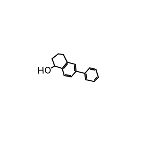 OC1CCCc2cc(-c3ccccc3)ccc21